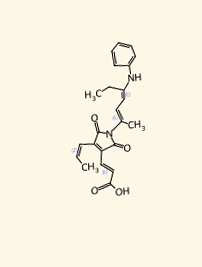 C/C=C\C1=C(/C=C/C(=O)O)C(=O)N(/C(C)=C/C=C(\CC)Nc2ccccc2)C1=O